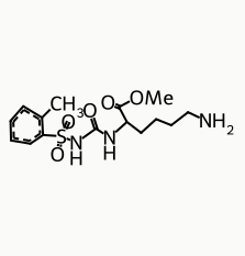 COC(=O)C(CCCCN)NC(=O)NS(=O)(=O)c1ccccc1C